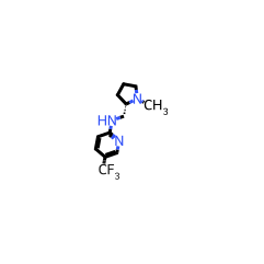 CN1CCC[C@H]1CNc1ccc(C(F)(F)F)cn1